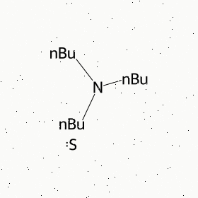 CCCCN(CCCC)CCCC.[S]